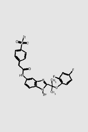 CCS(=O)(=O)c1ccc(CC(=O)Nc2ccc3c(c2)nc(C(C)(C)Oc2ccc(F)cc2F)n3C(C)C)cc1